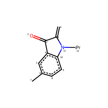 C=C1C(=O)c2cc(C)ccc2N1C(C)C